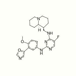 COc1ccc(Nc2ncc(F)c(NC[C@@H]3CCCN4CCCC[C@H]34)n2)cc1-c1cnco1